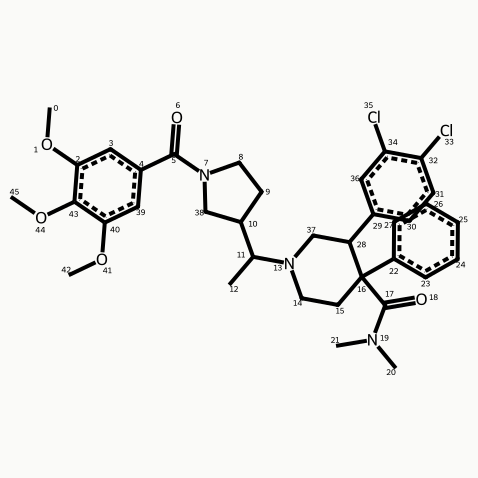 COc1cc(C(=O)N2CCC(C(C)N3CCC(C(=O)N(C)C)(c4ccccc4)C(c4ccc(Cl)c(Cl)c4)C3)C2)cc(OC)c1OC